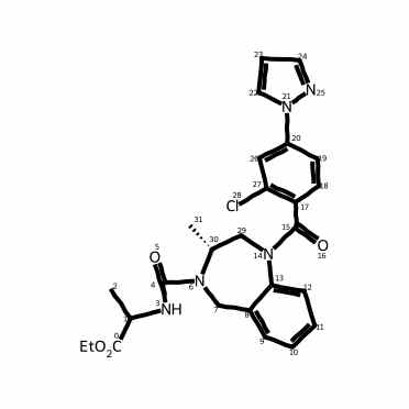 CCOC(=O)C(C)NC(=O)N1Cc2ccccc2N(C(=O)c2ccc(-n3cccn3)cc2Cl)C[C@H]1C